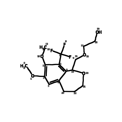 COc1cc2c(c(C(F)(F)F)c1OC)C(COCCO)OCCC2